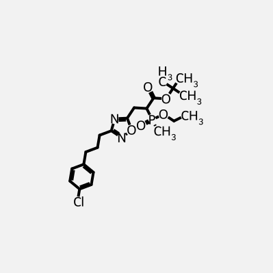 CCOP(C)(=O)C(Cc1nc(CCCc2ccc(Cl)cc2)no1)C(=O)OC(C)(C)C